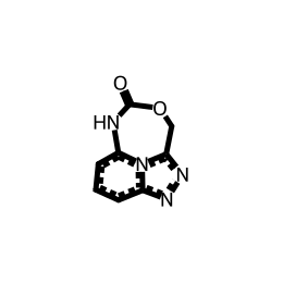 O=C1Nc2cccc3nnc(n23)CO1